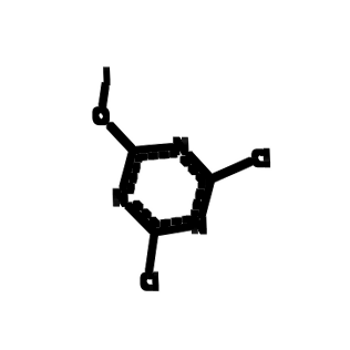 Clc1nc(Cl)nc(OI)n1